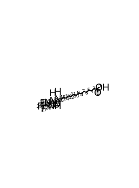 O=C(O)CCCCCCCCCCCCCCNC(=O)Nc1nc(C(F)(F)F)c[nH]1